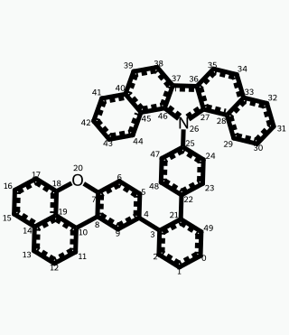 c1ccc(-c2ccc3c(c2)-c2cccc4cccc(c24)O3)c(-c2ccc(-n3c4c5ccccc5ccc4c4ccc5ccccc5c43)cc2)c1